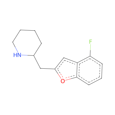 Fc1cccc2oc(CC3CCCCN3)cc12